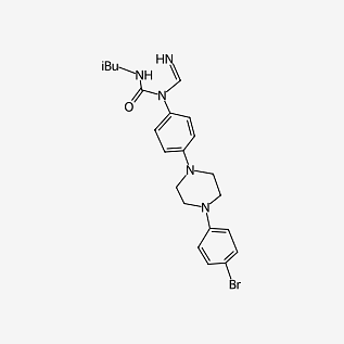 CCC(C)NC(=O)N(C=N)c1ccc(N2CCN(c3ccc(Br)cc3)CC2)cc1